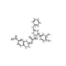 CC(C)Nc1ncc2c(n1)CN(OC(=O)N[C@@H]1CN(Cc3ccccc3)C[C@H]1c1ccc(F)c(F)c1)CC2